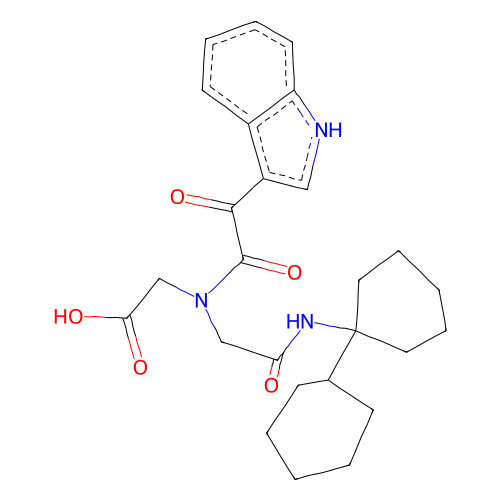 O=C(O)CN(CC(=O)NC1(C2CCCCC2)CCCCC1)C(=O)C(=O)c1c[nH]c2ccccc12